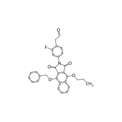 CCCOc1c2c(c(OCc3ccccc3)c3ccccc13)C(=O)N(c1ccc(CC=O)c(F)c1)C2=O